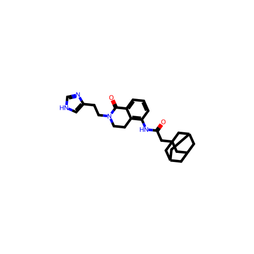 O=C(CC12CC3CC(CC(C3)C1)C2)Nc1cccc2c1CCN(CCc1c[nH]cn1)C2=O